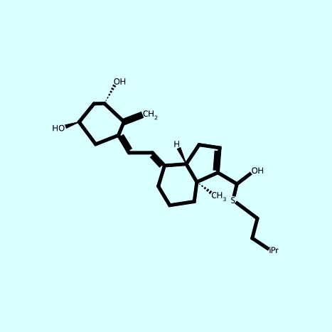 C=C1C(=CC=C2CCC[C@]3(C)C(C(O)SCCC(C)C)=CC[C@@H]23)C[C@@H](O)C[C@@H]1O